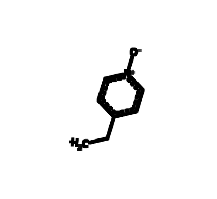 [CH2]Cc1cc[n+]([O-])cc1